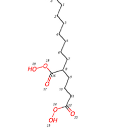 CCCCCCCCC(CCCC(=O)OO)C(=O)OO